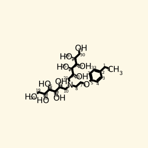 CCc1ccc(OCCN(C[C@@H](O)[C@@H](O)[C@H](O)[C@H](O)CO)C[C@@H](O)[C@@H](O)[C@H](O)[C@H](O)CO)cc1